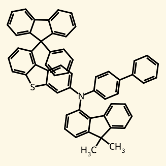 CC1(C)c2ccccc2-c2c(N(c3ccc(-c4ccccc4)cc3)c3ccc4c(c3)sc3cccc(C5(c6ccccc6)c6ccccc6-c6ccccc65)c34)cccc21